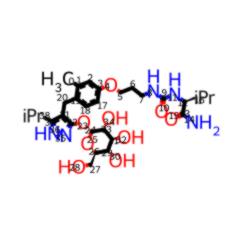 Cc1cc(OCCCNC(=O)N[C@H](C(N)=O)C(C)C)ccc1Cc1c(O[C@@H]2O[C@H](CO)[C@@H](O)[C@H](O)[C@H]2O)n[nH]c1C(C)C